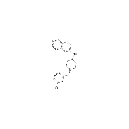 Clc1cccc(CN2CCC(Nc3ccc4cnccc4c3)CC2)c1